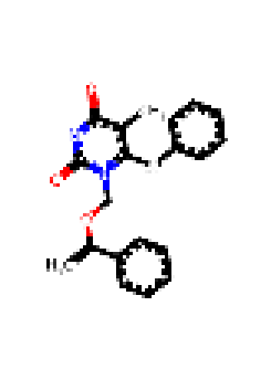 C=C(OCn1c([Se]c2ccccc2)c(C)c(=O)[nH]c1=O)c1ccccc1